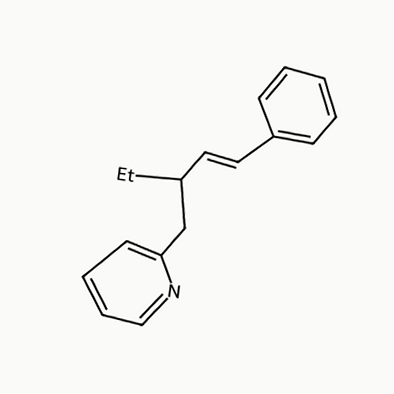 CCC(/C=C/c1ccccc1)Cc1ccccn1